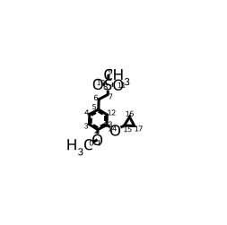 COc1ccc(CCS(C)(=O)=O)cc1OC1CC1